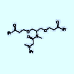 CC(C)C(=O)CCOCC(COCCC(=O)C(C)C)N(C)C(=O)CN(C)C(C)C